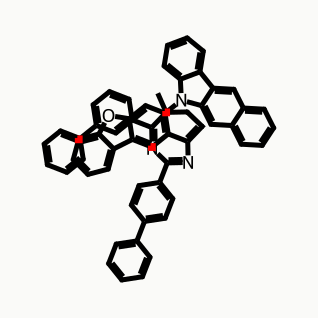 CC1C/C=C(c2cc3c(cc2-n2c4ccccc4c4cc5ccccc5cc42)oc2ccccc23)/N=C(c2ccc(-c3ccccc3)cc2)\N=C/1c1cccc(-c2ccccc2)c1